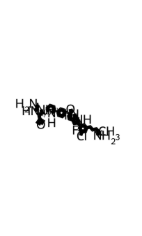 C[C@H](N)CCCc1cc(Cl)c(F)c(-c2cc3cn(-c4ccc([C@@H]5CCC[C@@H](C[C@@H](CC6COC6)NC(=N)CN)N5)cc4)c(=O)nc3[nH]2)c1